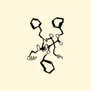 COCCOC(=O)N(CCc1ccccc1)C(=O)C(CCC(C)C)(C(=O)OCc1ccccc1)C(=O)OCc1ccccc1